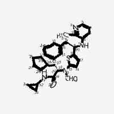 Cc1ncccc1N[C@H](Cc1ccccc1)c1ccc(N(C=O)[C@@H](CC2CCCC2)C(=O)NC2CC2)s1